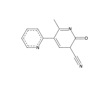 CC1=NC(=O)C(C#N)C=C1c1ccccn1